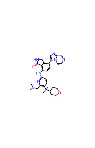 C[C@@H](c1ccc(Nc2ccc(-c3cnc4cnccn34)c3c2C(=O)NC3)nc1CN(C)C)C1CCOCC1